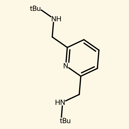 CC(C)(C)NCc1cccc(CNC(C)(C)C)n1